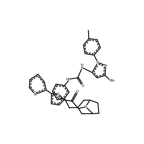 Cc1ccc(-n2nc(C(C)(C)C)cc2NC(=O)Nc2cccc(CC3CC4CCC(C3)N4CC(=O)c3ccc(-c4ccccn4)s3)c2)cc1